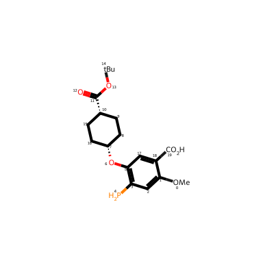 COc1cc(P)c(O[C@H]2CC[C@@H](C(=O)OC(C)(C)C)CC2)cc1C(=O)O